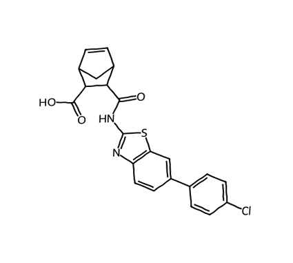 O=C(O)C1C2C=CC(C2)C1C(=O)Nc1nc2ccc(-c3ccc(Cl)cc3)cc2s1